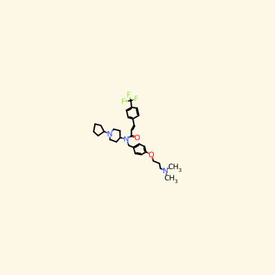 CN(C)CCCOc1ccc(CN(C(=O)/C=C/c2ccc(C(F)(F)F)cc2)C2CCN(C3CCCC3)CC2)cc1